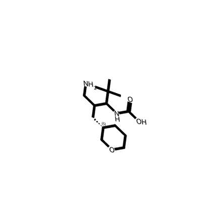 CC(C)(C)C(NC(=O)O)C(CN)C[C@@H]1CCCOC1